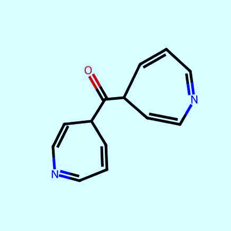 O=C(C1C=CC=NC=C1)C1C=CC=NC=C1